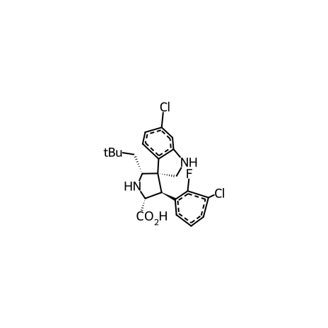 CC(C)(C)C[C@H]1N[C@@H](C(=O)O)[C@H](c2cccc(Cl)c2F)[C@@]12CNc1cc(Cl)ccc12